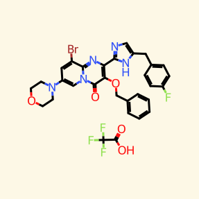 O=C(O)C(F)(F)F.O=c1c(OCc2ccccc2)c(-c2ncc(Cc3ccc(F)cc3)[nH]2)nc2c(Br)cc(N3CCOCC3)cn12